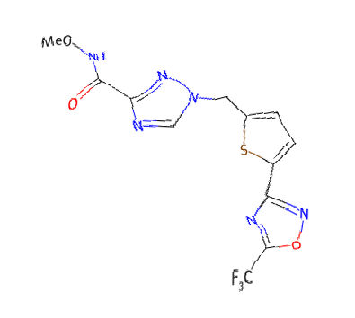 CONC(=O)c1ncn(Cc2ccc(-c3noc(C(F)(F)F)n3)s2)n1